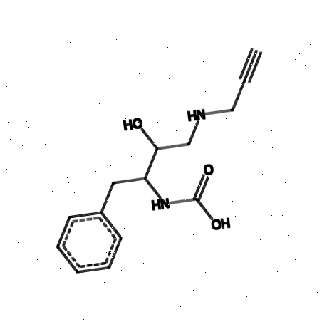 C#CCNCC(O)C(Cc1ccccc1)NC(=O)O